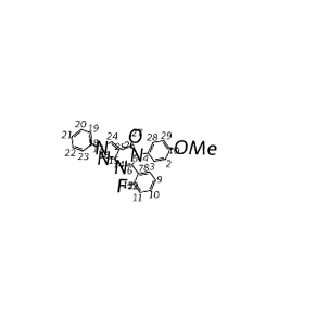 COc1ccc(-n2c(-c3ccccc3F)nc3nn(-c4ccccc4)cc3c2=O)cc1